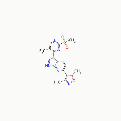 Cc1noc(C)c1-c1ccc2c(-c3nc(S(C)(=O)=O)ncc3C(F)(F)F)c[nH]c2n1